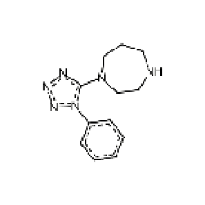 c1ccc(-n2nnnc2N2CCCNCC2)cc1